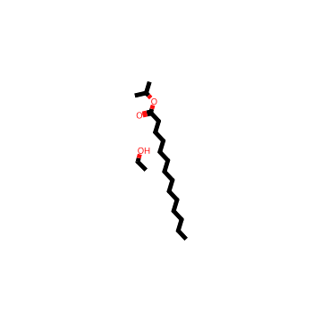 CCCCCCCCCCCCCC(=O)OC(C)C.CCO